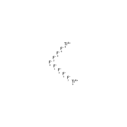 [F-].[F-].[F-].[F-].[F-].[F-].[F-].[F-].[Ti+4].[Ti+4]